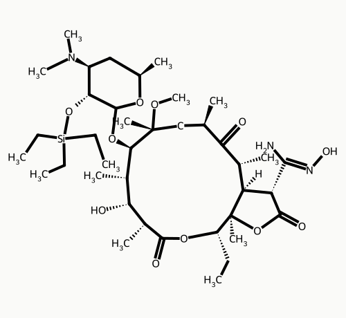 CC[C@@H]1OC(=O)[C@H](C)[C@H](O)[C@H](C)[C@@H](OC2O[C@H](C)C[C@H](N(C)C)[C@H]2O[Si](CC)(CC)CC)[C@](C)(OC)C[C@@H](C)C(=O)[C@H](C)[C@H]2[C@H](/C(N)=N/O)C(=O)O[C@]21C